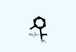 Cc1ccccc1[C@@](C)(N)C(=O)O